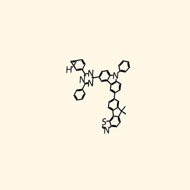 CC1(C)c2cc(-c3ccc4c(c3)c3cc(-c5nc(C6=C[C@@H]7C=C7C=C6)nc(-c6ccccc6)n5)ccc3n4-c3ccccc3)ccc2-c2c1ccc1ncsc21